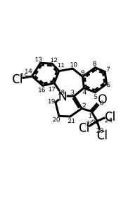 O=C(C1=C2c3ccccc3Cc3ccc(Cl)cc3N2CCC1)C(Cl)(Cl)Cl